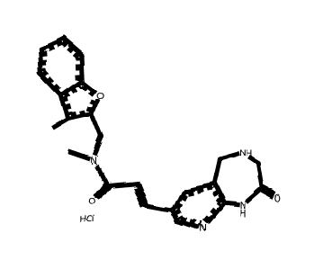 Cc1c(CN(C)C(=O)C=Cc2cnc3c(c2)CNCC(=O)N3)oc2ccccc12.Cl